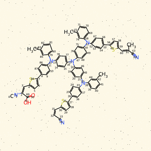 [C-]#[N+]/C(=C/c1ccc(-c2ccc(N(c3ccc(N(c4ccc(N(c5ccc(-c6ccc(/C=C\C#N)s6)cc5)c5cccc(C)c5)cc4)c4ccc(N(c5ccc(-c6ccc(/C=C(\C)C#N)s6)cc5)c5cccc(C)c5)cc4)cc3)c3cccc(C)c3)cc2)s1)C(=O)O